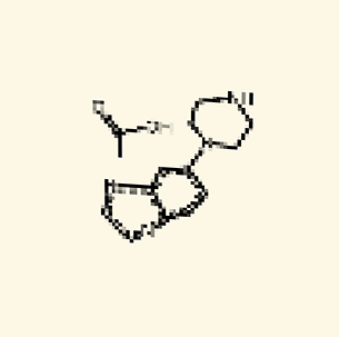 CC(=O)O.c1cnc2cc(N3CCNCC3)ccc2n1